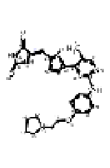 Cc1cnc(Nc2ccc(OCCN3CCCC3)cc2)nc1-c1ccc(/C=C2\NC(=O)NC2=O)s1